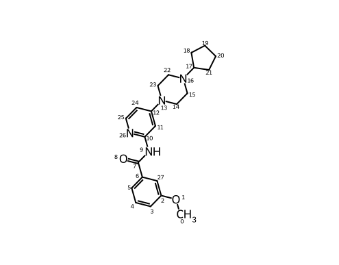 COc1cccc(C(=O)Nc2cc(N3CCN(C4CCCC4)CC3)ccn2)c1